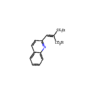 CCOC(=O)C(=Cc1ccc2ccccc2n1)C(=O)OCC